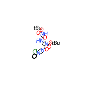 CC(C)(C)OC(=O)NCC(=O)N[C@@H]1C[C@@H](C(=O)N2CCN(c3ccccc3Cl)CC2)N(C(=O)OC(C)(C)C)C1